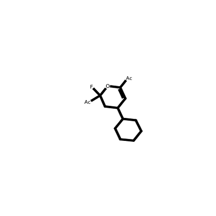 CC(=O)C1=CC(C2CCCCC2)CC(F)(C(C)=O)O1